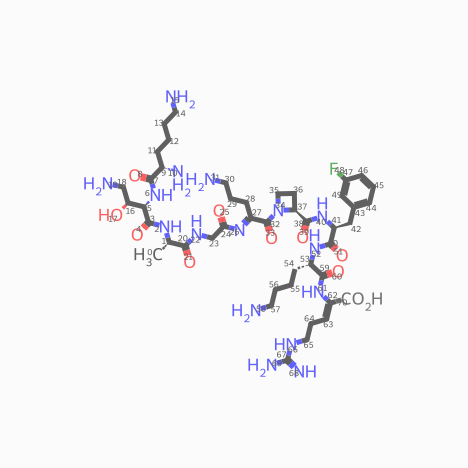 C[C@H](NC(=O)[C@@H](NC(=O)[C@@H](N)CCCCN)[C@@H](O)CN)C(=O)NCC(=O)/N=C(\CCCN)C(=O)N1CC[C@H]1C(=O)N[C@@H](Cc1cccc(F)c1)C(=O)N[C@@H](CCCCN)C(=O)N/C(=C\CCNC(=N)N)C(=O)O